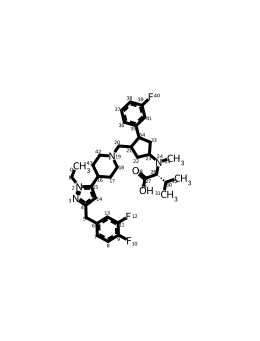 CCn1nc(Cc2ccc(F)c(F)c2)cc1C1CCN(CC2CC(N(C)[C@@H](C(=O)O)C(C)C)CC2c2cccc(F)c2)CC1